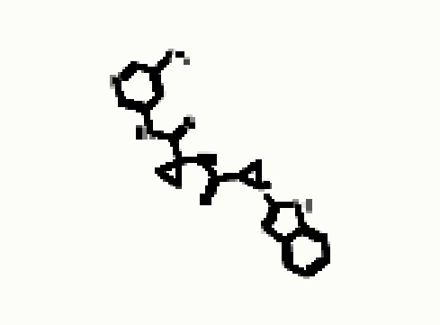 O=C(NC1(C(=O)Nc2cncc(C(F)(F)F)c2)CC1)C1C[C@@H]1c1nc2ccccc2[nH]1